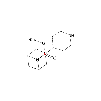 CC(C)(C)OC(=O)N1C2CC1CN(C1CCNCC1)C2